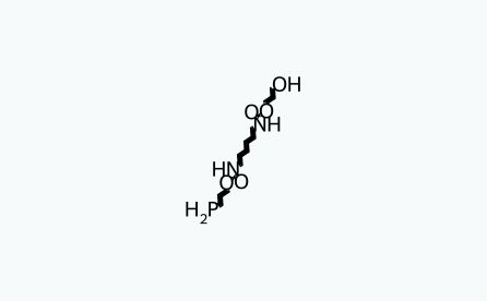 O=C(NCCCCCCNC(=O)OCCCP)OCCCO